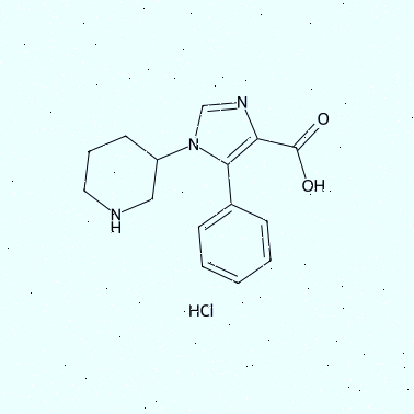 Cl.O=C(O)c1ncn(C2CCCNC2)c1-c1ccccc1